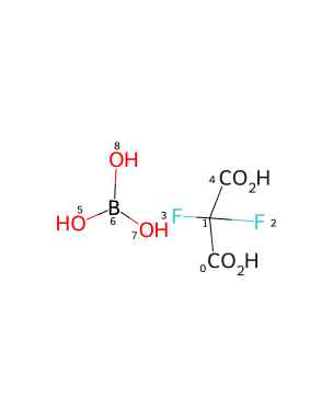 O=C(O)C(F)(F)C(=O)O.OB(O)O